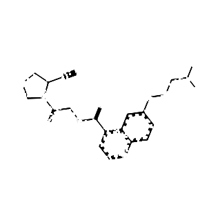 N#CC1CSCN1C(=O)CNC(=O)c1ccnc2ccc(COCC(F)F)cc12